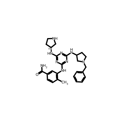 Cc1ccc(C(N)=O)cc1Nc1nc(NC2CCN(Cc3ccccc3)C2)nc(N[C@H]2CCNC2)n1